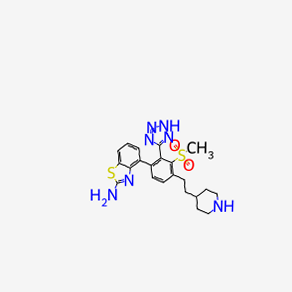 CS(=O)(=O)c1c(CCC2CCNCC2)ccc(-c2cccc3sc(N)nc23)c1-c1nn[nH]n1